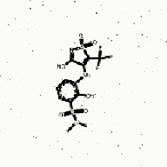 CN(C)S(=O)(=O)c1cccc(NC2=C(C(F)(F)F)S(=O)(=O)N=C2O)c1O